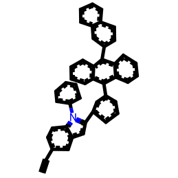 C#Cc1ccc2c(c1)cc(-c1cccc(-c3c4ccccc4c(-c4ccc5ccccc5c4)c4ccccc34)c1)n2-c1ccccc1